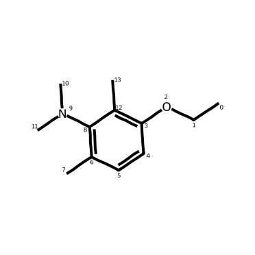 CCOc1ccc(C)c(N(C)C)c1C